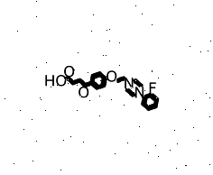 O=C(O)CCC(=O)c1ccc(OCCN2CCN(c3ccccc3F)CC2)cc1